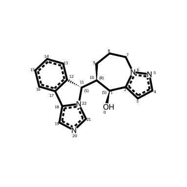 O[C@@H]1c2ccnn2CCC[C@@H]1[C@H]1c2ccccc2-c2cncn21